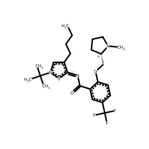 CCCCc1cn(C(C)(C)C)s/c1=N\C(=O)c1cc(C(F)(F)F)ccc1OC[C@@H]1CCCN1C